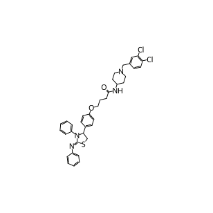 O=C(CCCOc1ccc(C2CSC(=Nc3ccccc3)N2c2ccccc2)cc1)NC1CCN(Cc2ccc(Cl)c(Cl)c2)CC1